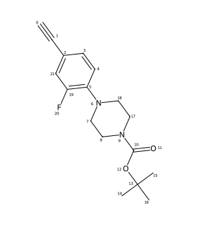 C#Cc1ccc(N2CCN(C(=O)OC(C)(C)C)CC2)c(F)c1